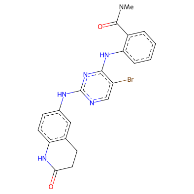 CNC(=O)c1ccccc1Nc1nc(Nc2ccc3c(c2)CCC(=O)N3)ncc1Br